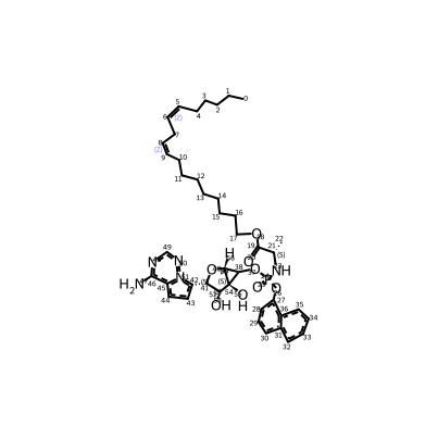 CCCCC/C=C\C/C=C\CCCCCCCCOC(=O)[C@H](C)NP(=O)(Oc1cccc2ccccc12)OC1[C@H]2O[C@@H](c3ccc4c(N)ncnn34)[C@H](O)[C@@]12O